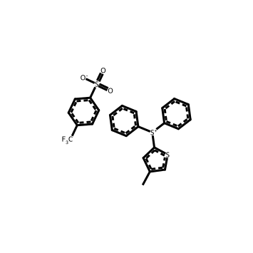 Cc1csc([S+](c2ccccc2)c2ccccc2)c1.O=S(=O)([O-])c1ccc(C(F)(F)F)cc1